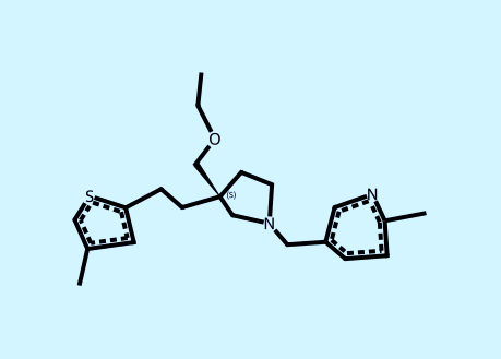 CCOC[C@@]1(CCc2cc(C)cs2)CCN(Cc2ccc(C)nc2)C1